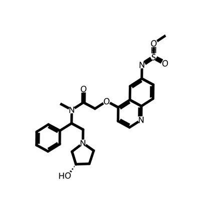 CO[SH](=O)=Nc1ccc2nccc(OCC(=O)N(C)C(CN3CC[C@H](O)C3)c3ccccc3)c2c1